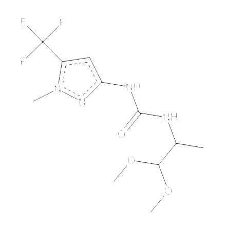 COC(OC)C(C)NC(=O)Nc1cc(C(F)(F)F)n(C)n1